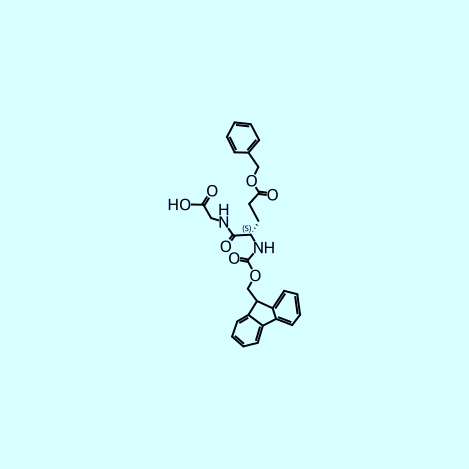 O=C(O)CNC(=O)[C@H](CCC(=O)OCc1ccccc1)NC(=O)OCC1c2ccccc2-c2ccccc21